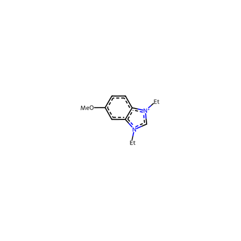 CCn1c[n+](CC)c2ccc(OC)cc21